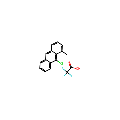 Cc1cccc2cc3ccccc3c(Cl)c12.O=C(O)C(F)(F)F